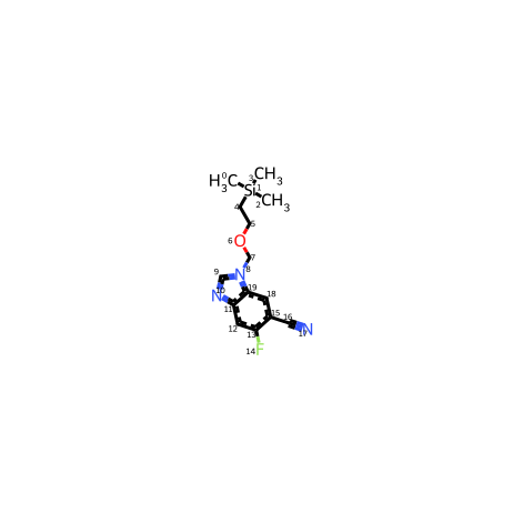 C[Si](C)(C)CCOCn1cnc2cc(F)c(C#N)cc21